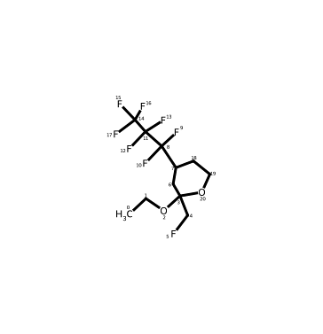 CCOC1(CF)CC(C(F)(F)C(F)(F)C(F)(F)F)CCO1